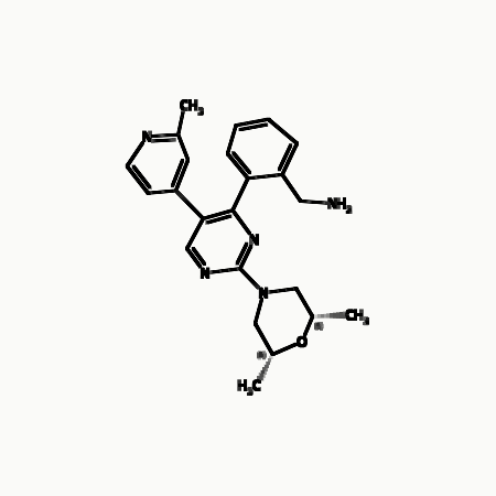 Cc1cc(-c2cnc(N3C[C@@H](C)O[C@@H](C)C3)nc2-c2ccccc2CN)ccn1